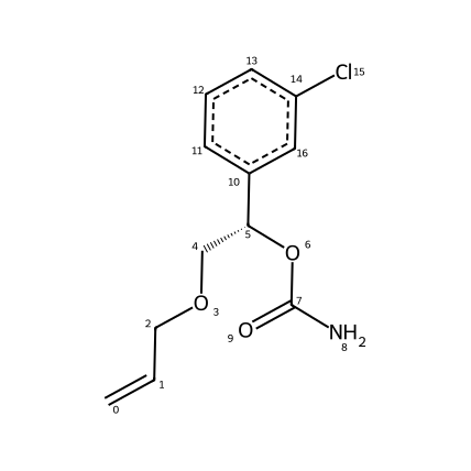 C=CCOC[C@@H](OC(N)=O)c1cccc(Cl)c1